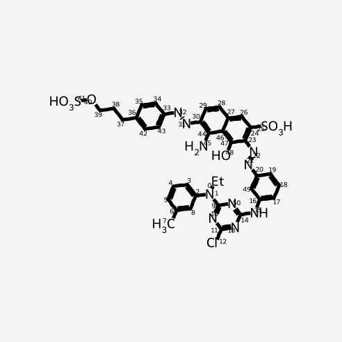 CCN(c1cccc(C)c1)c1nc(Cl)nc(Nc2cccc(/N=N/c3c(S(=O)(=O)O)cc4ccc(/N=N/c5ccc(CCCOS(=O)(=O)O)cc5)c(N)c4c3O)c2)n1